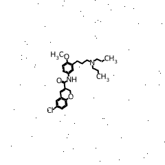 CCCN(CCC)CCCc1cc(NC(=O)C2=Cc3cc(Cl)ccc3OC2)ccc1OC